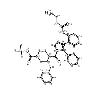 CC(C)(C)OC(=O)N1CCN(C(=O)c2ccn(-c3ccccc3NC(=O)CCN)c2-c2ccccc2)[C@H](Cc2ccccc2)C1